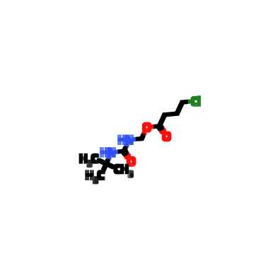 CC(C)(C)NC(=O)NCOC(=O)CCCCl